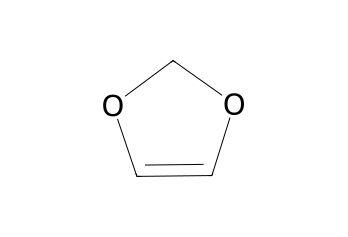 C1=COCO1